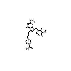 CNC(=O)N1CCN(CCCc2cn(Cc3ncc(C)c(OC)c3C)c3nc(N)nc(C)c23)CC1